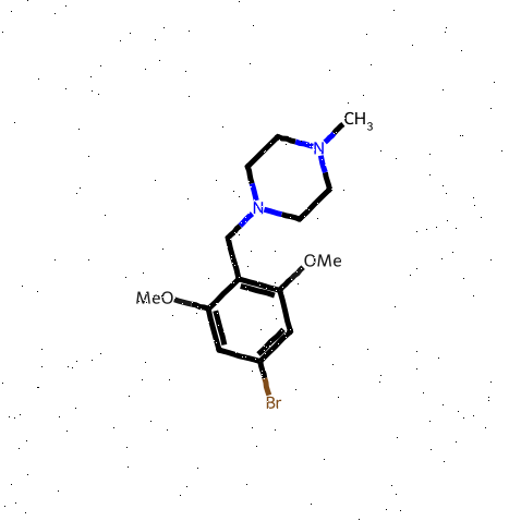 COc1cc(Br)cc(OC)c1CN1CCN(C)CC1